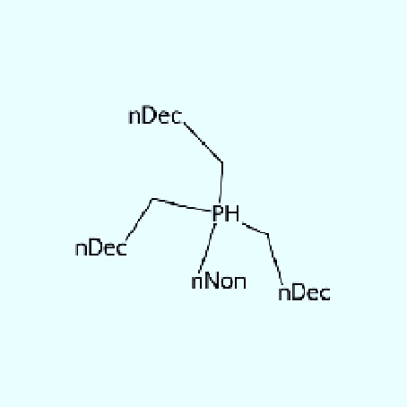 CCCCCCCCCCC[PH](CCCCCCCCC)(CCCCCCCCCCC)CCCCCCCCCCC